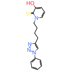 Oc1cccn(CCCCc2cn(-c3ccccc3)nn2)c1=S